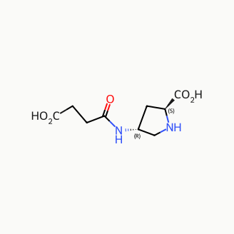 O=C(O)CCC(=O)N[C@H]1CN[C@H](C(=O)O)C1